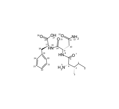 CC[C@H](C)[C@H](N)C(=O)N[C@@H](CC(N)=O)C(=O)N[C@@H](Cc1ccccc1)C(=O)O